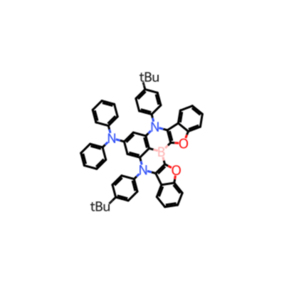 CC(C)(C)c1ccc(N2c3cc(N(c4ccccc4)c4ccccc4)cc4c3B(c3oc5ccccc5c32)c2oc3ccccc3c2N4c2ccc(C(C)(C)C)cc2)cc1